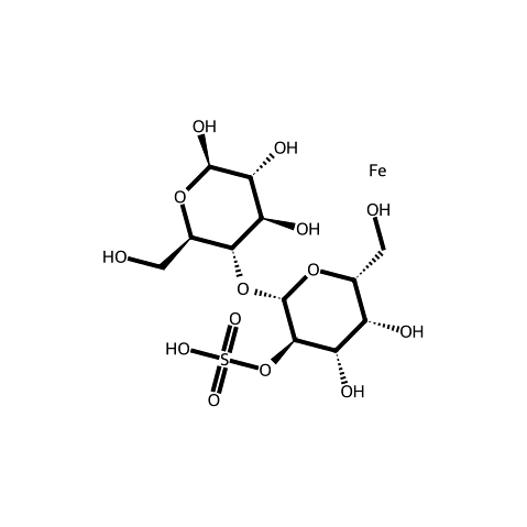 O=S(=O)(O)O[C@H]1[C@H](O[C@H]2[C@H](O)[C@@H](O)[C@H](O)O[C@@H]2CO)O[C@H](CO)[C@H](O)[C@@H]1O.[Fe]